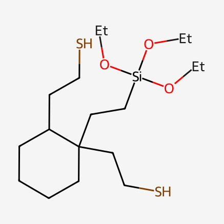 CCO[Si](CCC1(CCS)CCCCC1CCS)(OCC)OCC